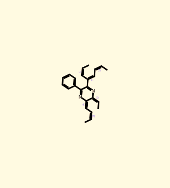 C\C=C/C=C(\C=C/C)c1nc(=C/C)/c(=C\C=C/C)nc1-c1ccccc1